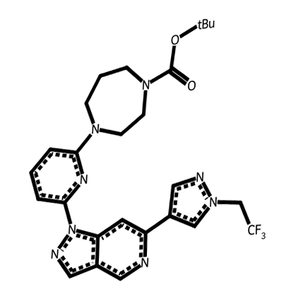 CC(C)(C)OC(=O)N1CCCN(c2cccc(-n3ncc4cnc(-c5cnn(CC(F)(F)F)c5)cc43)n2)CC1